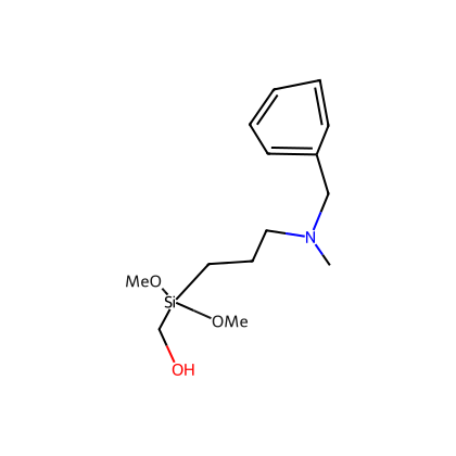 CO[Si](CO)(CCCN(C)Cc1ccccc1)OC